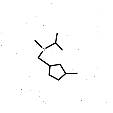 CC(C)N(C)CC1CCC(I)C1